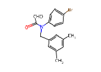 Cc1cc(C)cc(CN(C(=O)C=O)c2ccc(Br)cc2)c1